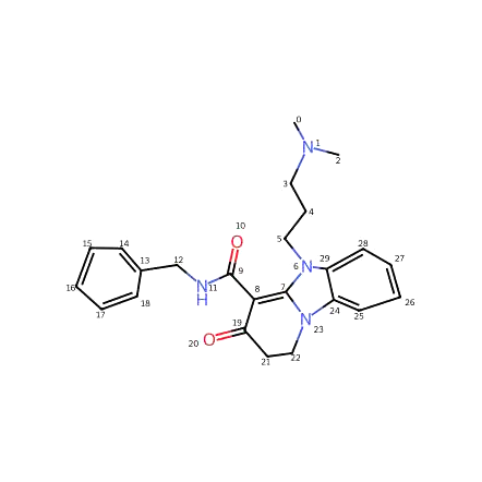 CN(C)CCCN1C2=C(C(=O)NCc3ccccc3)C(=O)CCN2c2ccccc21